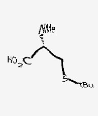 CN[C@H](CSC(C)(C)C)C(=O)O